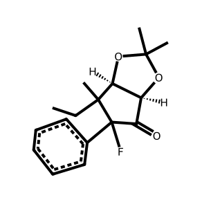 CCC1(C)[C@H]2OC(C)(C)O[C@H]2C(=O)C1(F)c1ccccc1